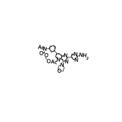 CC(=O)OCOC(=O)N(C(C)=O)c1cccc(-c2cnc3c(N4CCOCC4)nc(-c4cnc(N)nc4)nc3c2)c1